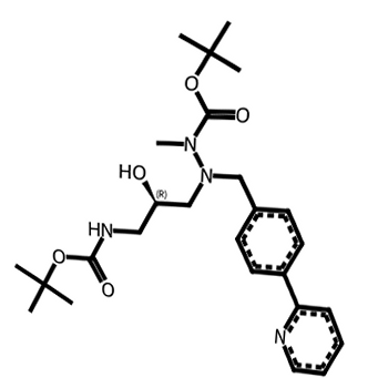 CN(C(=O)OC(C)(C)C)N(Cc1ccc(-c2ccccn2)cc1)C[C@H](O)CNC(=O)OC(C)(C)C